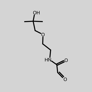 CC(C)(O)COCCNC(=O)C=O